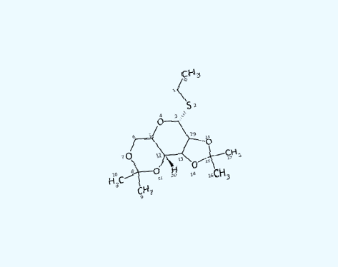 CCS[C@H]1OC2COC(C)(C)O[C@H]2C2OC(C)(C)OC21